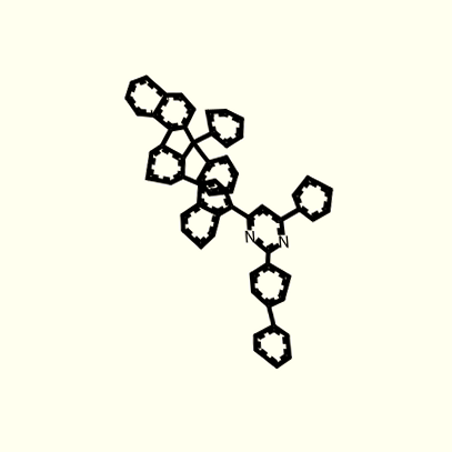 c1ccc(-c2ccc(-c3nc(-c4ccccc4)cc(-c4ccc(-c5cccc6c5C(c5ccccc5)(c5ccccc5)c5ccc7ccccc7c5-6)c5ccccc45)n3)cc2)cc1